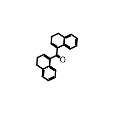 O=C(C1=CCCc2ccccc21)C1=CCCc2ccccc21